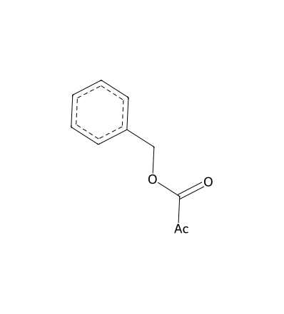 C[13C](=O)C(=O)OCc1ccccc1